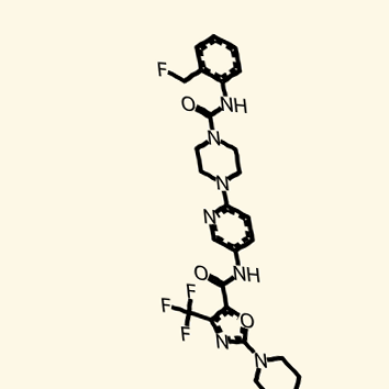 O=C(Nc1ccc(N2CCN(C(=O)Nc3ccccc3CF)CC2)nc1)c1oc(N2CCCCC2)nc1C(F)(F)F